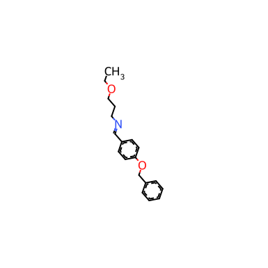 CCOCCC/N=C/c1ccc(OCc2ccccc2)cc1